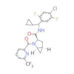 O=C(NC(c1cc(F)c(Cl)cc1F)C1CC1)[C@H]1C[C@H]2C[C@H]2N1C(=O)c1cccc(C(F)(F)F)n1